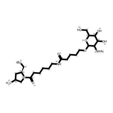 CC(=O)NC1C(OCCCCC(=O)NCCCCCC(=O)N2CC(C)C[C@H]2CC(C)(C)C)OC(CO)C(O)C1O